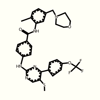 CSc1cnc(Nc2ccc(C(=O)Nc3cc(CN4CCOCC4)ccc3C)cc2)nc1-c1ccc(OC(F)(F)F)cc1